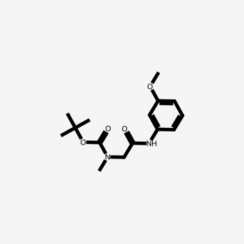 COc1cccc(NC(=O)CN(C)C(=O)OC(C)(C)C)c1